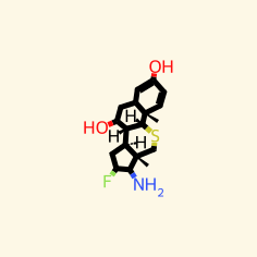 C[C@]12C=CC(O)=CC1CC(O)[C@@H]1[C@H]2SC[C@]2(C)C(N)C(F)C[C@@H]12